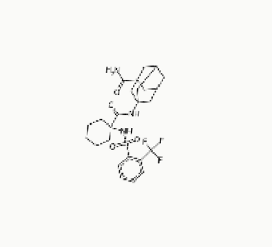 NC(=O)C12CC3CC(CC(NC(=O)C4(NS(=O)(=O)c5ccccc5C(F)(F)F)CCCCC4)(C3)C1)C2